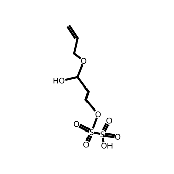 C=CCOC(O)CCOS(=O)(=O)S(=O)(=O)O